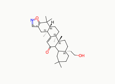 CC1(C)CC[C@]2(CCO)CC[C@]3(C)C(C(=O)C=C4[C@@]5(C)Cc6cnoc6C(C)(C)[C@@H]5CC[C@]43C)C2C1